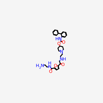 NCCNC(=O)c1ccc(C(=O)CNCCN2CCC(OC(=O)Nc3ccccc3-c3ccccc3)CC2)o1